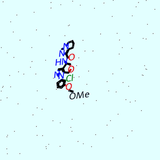 COCCOc1cccc(-n2ncc3c2COCC3NC(=O)c2ncn3c2CCCC3)c1Cl